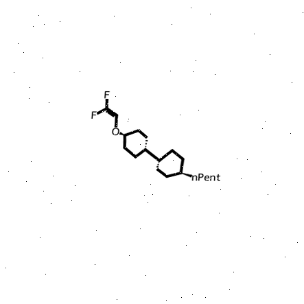 CCCCC[C@H]1CC[C@H]([C@H]2CC[C@H](OC=C(F)F)CC2)CC1